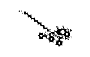 CC(=O)O[C@@]12CO[C@@H]1C[C@H](O)[C@@]1(C)C(=O)[C@H](C)C3=C(C)[C@@H](OC(=O)[C@H](OC(=O)CCCCCCCCCCCCCCC(=O)O)[C@@H](NC(=O)c4ccccc4)c4ccccc4)C[C@@](O)([C@@H](OC(=O)c4ccccc4)[C@H]21)C3(C)C